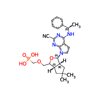 C[C@@H](Nc1nc(C#N)nc2c1ccn2[C@@H]1OC(COCP(=O)(O)O)[C@H]2CC(C)(C)C[C@H]21)c1ccccc1